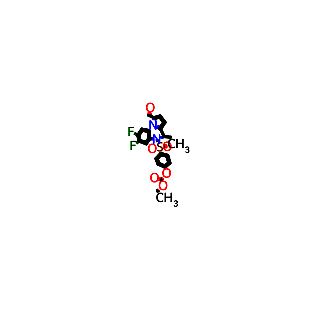 CCOC(=O)Oc1ccc(S(=O)(=O)N2c3cc(F)c(F)cc3-n3c(C=O)ccc3C2CC)cc1